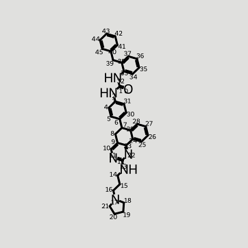 O=C(Nc1ccc(C2Cc3cnc(NCCCN4CCCC4)nc3-c3ccccc32)cc1)Nc1ccccc1Cc1ccccc1